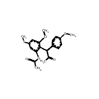 COc1ccc(C(C(C)=O)c2c(OC)cc(OC)cc2OC(C)=O)cc1